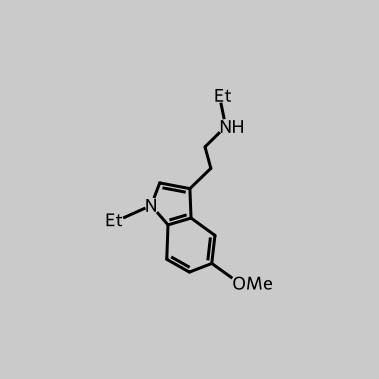 CCNCCc1cn(CC)c2ccc(OC)cc12